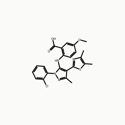 COc1ccc(Nc2c(-c3nc(C)c(C)s3)c(C)nn2-c2ccccc2Cl)c(C(=O)O)c1